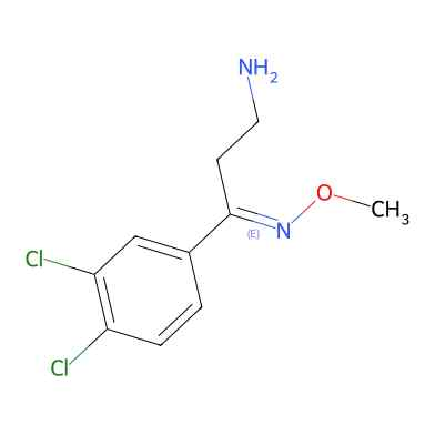 CO/N=C(\CCN)c1ccc(Cl)c(Cl)c1